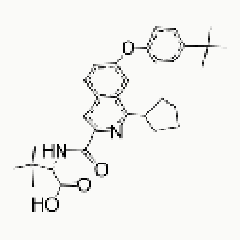 CC(C)(C)c1ccc(Oc2ccc3cc(C(=O)N[C@H](C(=O)O)C(C)(C)C)nc(C4CCCC4)c3c2)cc1